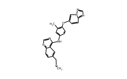 COCc1ccc2ncnc(Nc3ccc(Oc4ccc5ncnn5c4)c(C)c3)c2c1